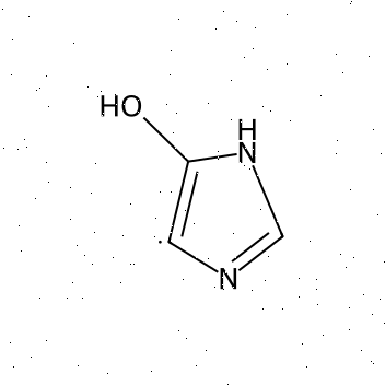 Oc1[c]nc[nH]1